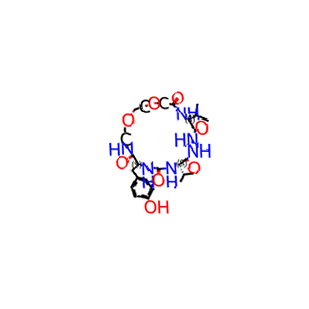 CC(C)[C@@H]1NC(=O)COCCOCCNC(=O)[C@H](Cc2ccc(O)cc2)NC(=O)N[C@@H](C(C)C)C(=O)NNC1=O